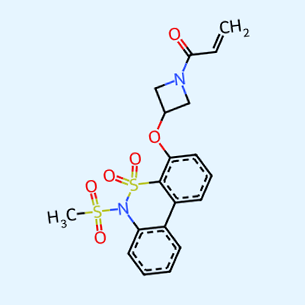 C=CC(=O)N1CC(Oc2cccc3c2S(=O)(=O)N(S(C)(=O)=O)c2ccccc2-3)C1